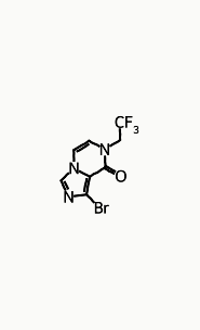 O=c1c2c(Br)ncn2ccn1CC(F)(F)F